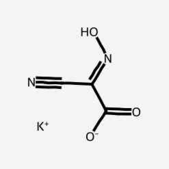 N#C/C(=N\O)C(=O)[O-].[K+]